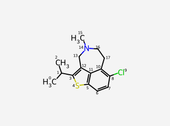 CC(C)c1sc2ccc(Cl)c3c2c1CN(C)CC3